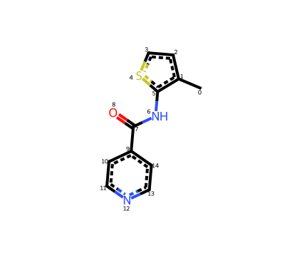 Cc1ccsc1NC(=O)c1ccncc1